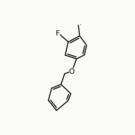 [CH2]c1ccc(OCc2ccccc2)cc1F